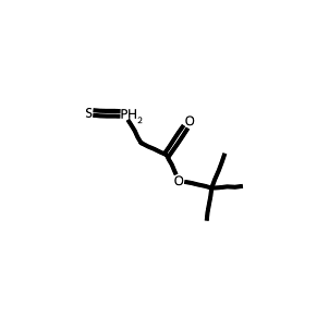 CC(C)(C)OC(=O)C[PH2]=S